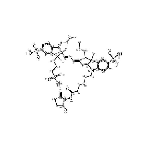 COCCN1c2ccc(S(=O)(=O)O)cc2C(C)(CCCS(=O)(=O)O)C1(C)/C=C/C=C/C=C1/N(CCOCCC(=O)ON2C(=O)CCC2=O)c2ccc(S(=O)(=O)O)cc2C1(C)CCOC